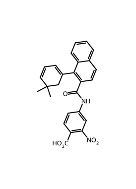 CC1(C)C=CC=C(c2c(C(=O)Nc3ccc(C(=O)O)c([N+](=O)[O-])c3)ccc3ccccc23)C1